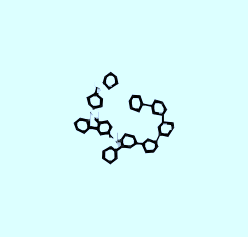 c1ccc(Sc2ccc(-n3c4ccccc4c4cc(-n5c6ccccc6c6cc(-c7cccc(-c8cccc(-c9cccc(-c%10ccccc%10)c9)c8)c7)ccc65)ccc43)cc2)cc1